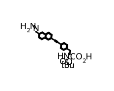 CC(C)(C)OC(=O)N[C@@H](Cc1ccc(C#Cc2ccc3cc(C=NN)ccc3c2)cc1)C(=O)O